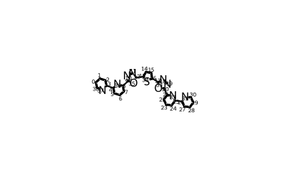 c1ccc(-c2cccc(-c3nnc(-c4ccc(-c5nnc(-c6cccc(-c7ccccn7)n6)o5)s4)o3)n2)nc1